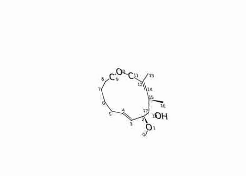 CO[C@H]1/C=C/CCCCCOC/C(C)=C\[C@@H](C)[C@@H]1O